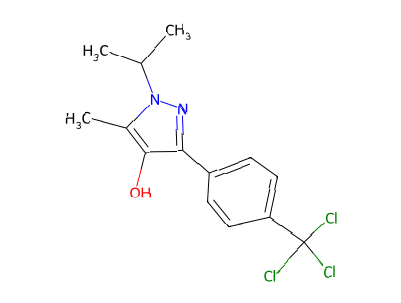 Cc1c(O)c(-c2ccc(C(Cl)(Cl)Cl)cc2)nn1C(C)C